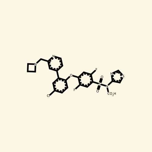 O=C(O)N(c1cscn1)S(=O)(=O)c1cc(F)c(Oc2ccc(Cl)cc2-c2ccnc(CN3CCC3)c2)cc1F